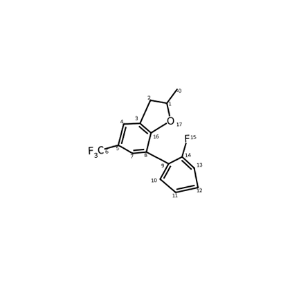 [CH2]C1Cc2cc(C(F)(F)F)cc(-c3ccccc3F)c2O1